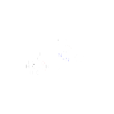 CC1(C)OB(C2=CC=CC(c3nc(-c4ccccc4)c4sc5ccccc5c4n3)C2)OC1(C)C